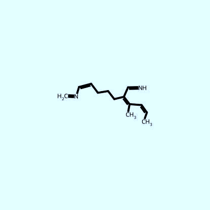 C=N/C=C\CCC/C(C=N)=C(C)/C=C\C